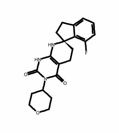 O=c1[nH]c2c(c(=O)n1C1CCOCC1)CC[C@]1(CCc3cccc(F)c31)N2